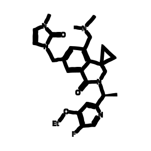 CCOc1cc([C@H](C)N2CC3(CC3)c3c(CN(C)C)cc(Cn4ccn(C)c4=O)cc3C2=O)ncc1F